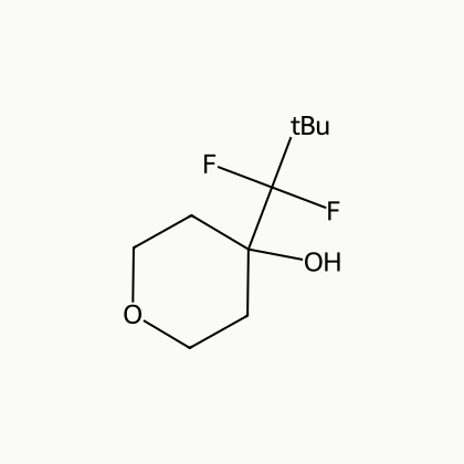 CC(C)(C)C(F)(F)C1(O)CCOCC1